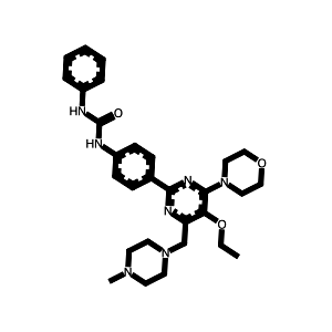 CCOc1c(CN2CCN(C)CC2)nc(-c2ccc(NC(=O)Nc3ccccc3)cc2)nc1N1CCOCC1